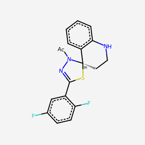 CC(=O)N1N=C(c2cc(F)ccc2F)S[C@@]12CCNc1ccccc12